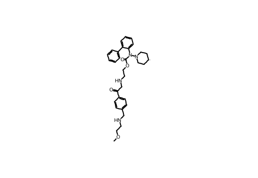 COCCNCc1ccc(C(=O)CNCCOC(=O)N(c2ccccc2-c2ccccc2)N2CC[CH]CC2)cc1